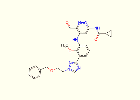 COc1c(Nc2cc(NC(=O)C3CC3)nnc2C=O)cccc1-c1ncn(CCOCc2ccccc2)n1